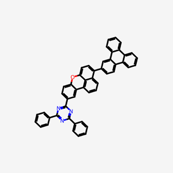 c1ccc(-c2nc(-c3ccccc3)nc(-c3ccc4c(c3)-c3cccc5c(-c6ccc7c8ccccc8c8ccccc8c7c6)ccc(c35)O4)n2)cc1